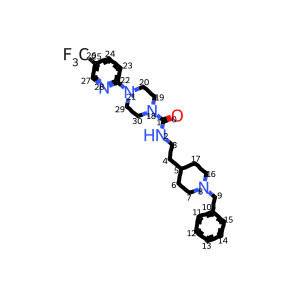 O=C(NCCC1CCN(Cc2ccccc2)CC1)N1CCN(c2ccc(C(F)(F)F)cn2)CC1